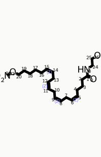 O=C(CCC/C=C\C/C=C\C/C=C\C/C=C\CCCCCO[N+](=O)[O-])NCCO